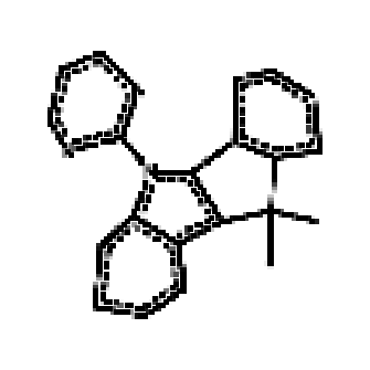 CC1(C)c2ccccc2-c2c1c1ccccc1n2-c1ncccn1